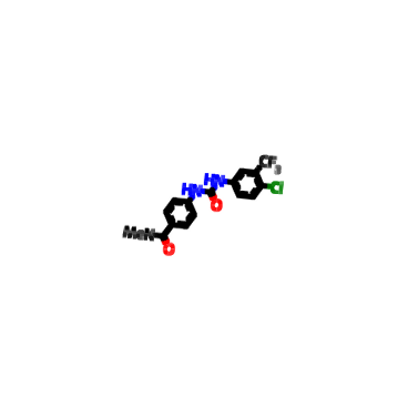 CNC(=O)c1ccc(NC(=O)Nc2ccc(Cl)c(C(F)(F)F)c2)cc1